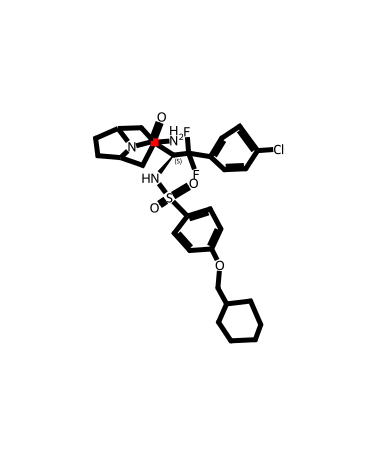 NC1CC2CCC(C1)N2C(=O)[C@H](NS(=O)(=O)c1ccc(OCC2CCCCC2)cc1)C(F)(F)c1ccc(Cl)cc1